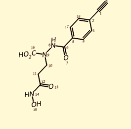 C#Cc1ccc(C(=O)NN(CCC(=O)NO)C(=O)O)cc1